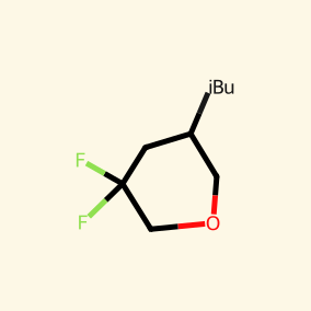 CCC(C)C1COCC(F)(F)C1